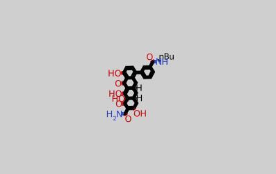 CCCCNC(=O)c1cccc(-c2ccc(O)c3c2C[C@H]2C[C@H]4CC(O)=C(C(N)=O)C(=O)[C@@]4(O)C(O)=C2C3=O)c1